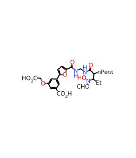 CCCCCC(C(=O)NCNC(=O)c1ccc(-c2cc(OCC(=O)O)cc(C(=O)O)c2)o1)C(CC)N(O)C=O